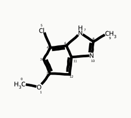 COc1cc(Cl)c2[nH]c(C)nc2c1